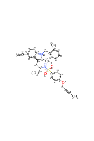 CC#CCOc1ccc(S(=O)(=O)NC(Cc2c(C)n(Cc3ccccc3C#N)c3ccc(OC)cc23)C(=O)O)cc1